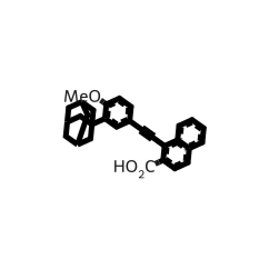 COc1ccc(C#Cc2c(C(=O)O)ccc3ccccc23)cc1C12CC3CC(CC(C3)C1)C2